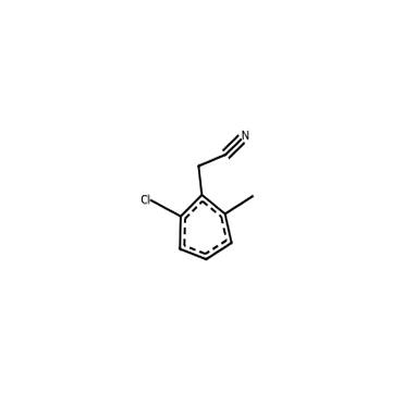 Cc1cccc(Cl)c1CC#N